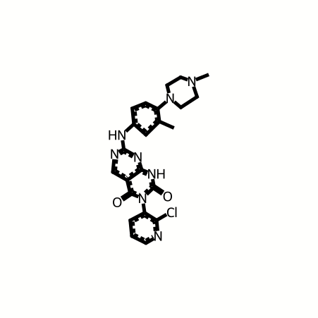 Cc1cc(Nc2ncc3c(=O)n(-c4cccnc4Cl)c(=O)[nH]c3n2)ccc1N1CCN(C)CC1